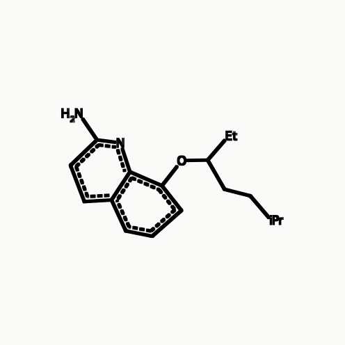 CCC(CCC(C)C)Oc1cccc2ccc(N)nc12